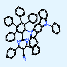 N#Cc1c(-c2ccccc2)nc(-c2c(-c3ccccc3)c(-c3ccccc3)c(-c3ccccc3)c(-c3ccccc3)c2-n2c3ccccc3c3cc4c(cc32)c2ccccc2n4-c2ccccc2)nc1-c1ccccc1